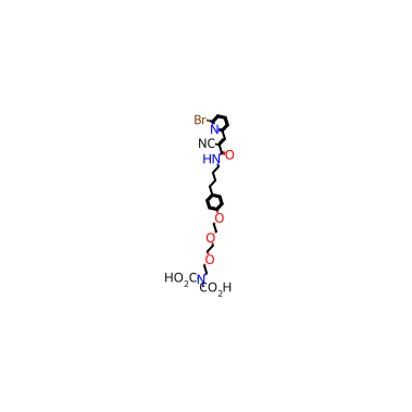 N#C/C(=C\c1cccc(Br)n1)C(=O)NCCCCc1ccc(OCCOCCOCCN(C(=O)O)C(=O)O)cc1